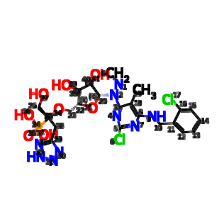 C=NN(c1nc(Cl)nc(NCc2ccccc2Cl)c1C)[C@@H]1O[C@H](CO[C@](CO)(Cc2nn[nH]n2)P(=O)(O)O)[C@@H](O)[C@H]1O